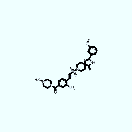 Cc1cc(C(=O)N2CCN(C)CC2)ccc1/C=C/S(=O)(=O)N1CCC2(CC1)N=C(c1cccc(OF)c1)NC2=O